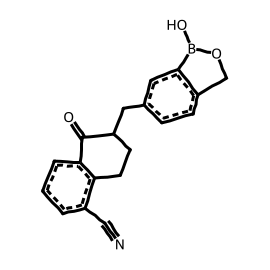 N#Cc1cccc2c1CCC(Cc1ccc3c(c1)B(O)OC3)C2=O